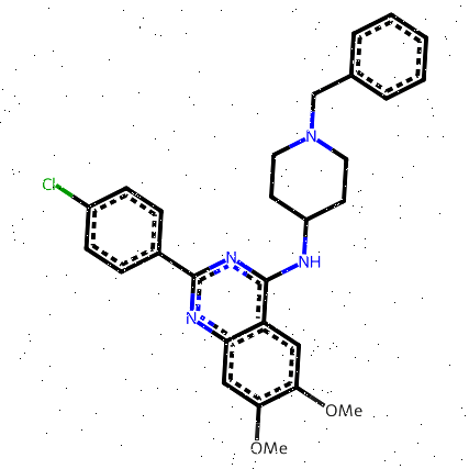 COc1cc2nc(-c3ccc(Cl)cc3)nc(NC3CCN(Cc4ccccc4)CC3)c2cc1OC